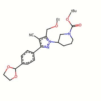 CCOCc1c(C#N)c(-c2ccc(C3OCCO3)cc2)nn1C1CCCN(C(=O)OC(C)(C)C)C1